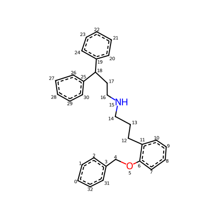 c1ccc(COc2ccccc2CCCNCCC(c2ccccc2)c2ccccc2)cc1